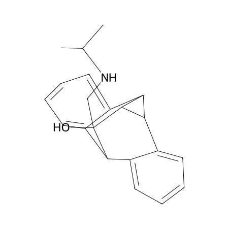 CC(C)NCC1(O)C2c3ccccc3C3C(c4ccccc42)C31